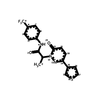 CC(C(=O)Nc1ccc(C(F)(F)F)cc1)n1nc(-c2ccsc2)ccc1=O